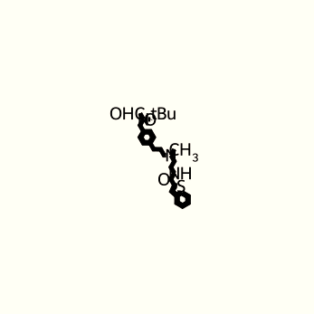 CN(CCCc1ccc(CN(C=O)OC(C)(C)C)cc1)CCNC(=O)c1cc2ccccc2s1